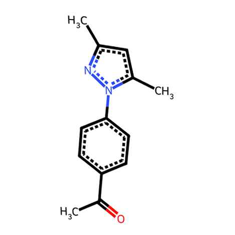 CC(=O)c1ccc(-n2nc(C)cc2C)cc1